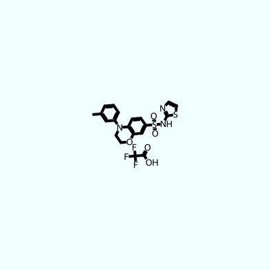 Cc1cccc(N2CCOc3cc(S(=O)(=O)Nc4nccs4)ccc32)c1.O=C(O)C(F)(F)F